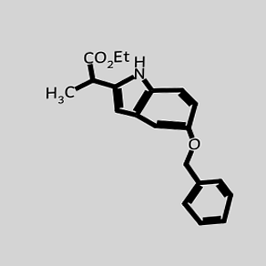 CCOC(=O)C(C)c1cc2cc(OCc3ccccc3)ccc2[nH]1